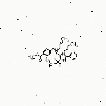 CCCCN(Cc1ccc(C(=O)OC)c(OC)c1)Cc1c(C(F)(F)F)nc(-c2ccccc2)n1CCCC